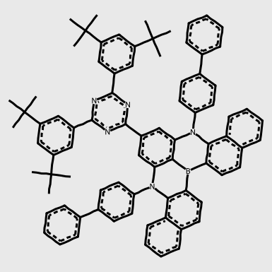 CC(C)(C)c1cc(-c2nc(-c3cc(C(C)(C)C)cc(C(C)(C)C)c3)nc(-c3cc4c5c(c3)N(c3ccc(-c6ccccc6)cc3)c3c(ccc6ccccc36)B5c3ccc5ccccc5c3N4c3ccc(-c4ccccc4)cc3)n2)cc(C(C)(C)C)c1